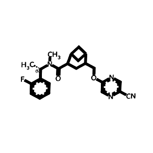 C[C@@H](c1ccccc1F)N(C)C(=O)C1CC(COc2cnc(C#N)cn2)C2CC1C2